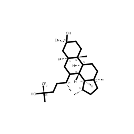 CC[C@]1(O)CC[C@@]2(C)[C@@H](CC([C@H](C)CC[C@](C)(O)C(F)(F)F)[C@H]3[C@@H]4[C@@H](C)CC[C@]4(C)CC[C@@H]32)C1